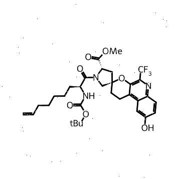 C=CCCCCC[C@H](NC(=O)OC(C)(C)C)C(=O)N1C[C@@]2(CCc3c(c(C(F)(F)F)nc4ccc(O)cc34)O2)C[C@H]1C(=O)OC